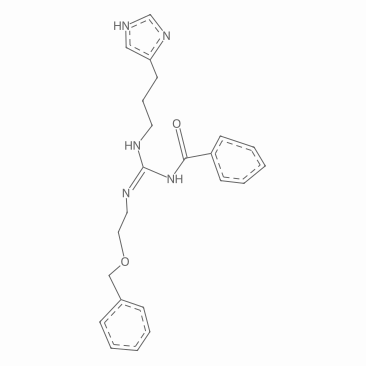 O=C(N/C(=N\CCOCc1ccccc1)NCCCc1c[nH]cn1)c1ccccc1